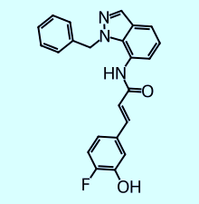 O=C(/C=C/c1ccc(F)c(O)c1)Nc1cccc2cnn(Cc3ccccc3)c12